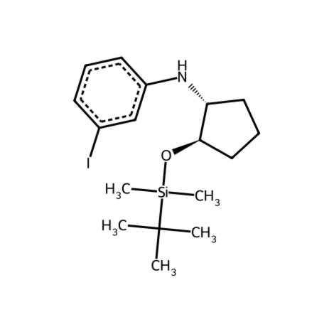 CC(C)(C)[Si](C)(C)O[C@@H]1CCC[C@H]1Nc1cccc(I)c1